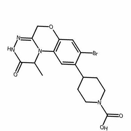 CC1C(=O)NN=C2COc3cc(Br)c(C4CCN(C(=O)O)CC4)cc3N21